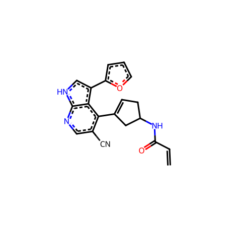 C=CC(=O)NC1CC=C(c2c(C#N)cnc3[nH]cc(-c4ccco4)c23)C1